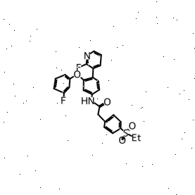 CCS(=O)(=O)c1ccc(CC(=O)Nc2ccc(-c3cccnc3F)c(Oc3cccc(F)c3)c2)cc1